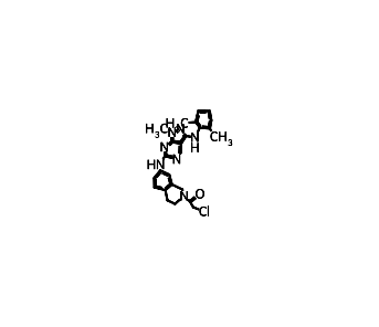 Cc1cccc(C)c1Nc1nn(C)c2nc(Nc3ccc4c(c3)CN(C(=O)CCl)CC4)ncc12